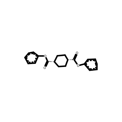 O=C(Oc1ccccc1)[C@H]1CC[C@@H](C(=O)Oc2ccccc2)CC1